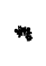 Cc1cc(=O)[nH]c(-n2ncc(C(=O)N(C)Cc3ccccc3)c2C)n1